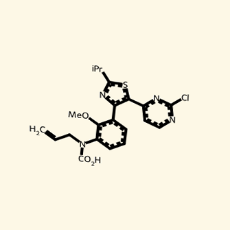 C=CCN(C(=O)O)c1cccc(-c2nc(C(C)C)sc2-c2ccnc(Cl)n2)c1OC